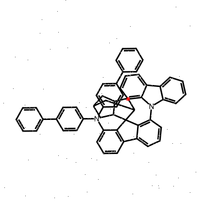 c1ccc(-c2ccc(N(c3ccc(-c4ccccc4)cc3)c3cccc4c3C3(c5c-4cccc5-n4c5ccccc5c5ccccc54)C4CC5CC(C4)C3C5)cc2)cc1